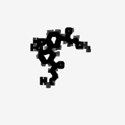 CCCC(=O)c1ccc(O)c(-c2cc(C(=O)CCC)ccc2O)c1